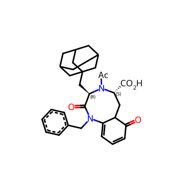 CC(=O)N1[C@H](CC23CC4CC(CC(C4)C2)C3)C(=O)N(Cc2ccccc2)C2=CC=CC(=O)C2C[C@H]1C(=O)O